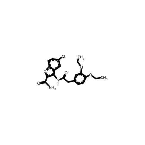 CCOc1ccc(CC(=O)Nc2c(C(N)=O)oc3ccc(Cl)cc23)cc1OCC